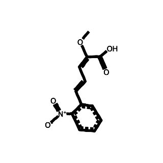 CO/C(=C/C=C/c1ccccc1[N+](=O)[O-])C(=O)O